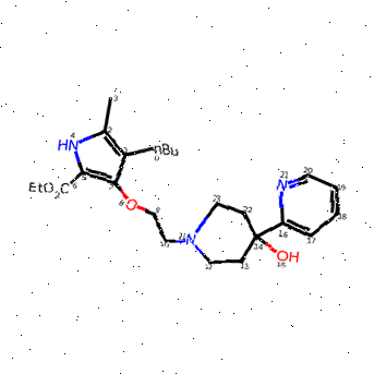 CCCCc1c(C)[nH]c(C(=O)OCC)c1OCCN1CCC(O)(c2ccccn2)CC1